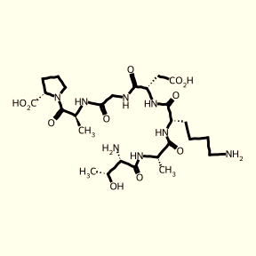 C[C@H](NC(=O)[C@@H](N)[C@@H](C)O)C(=O)N[C@@H](CCCCN)C(=O)N[C@@H](CC(=O)O)C(=O)NCC(=O)N[C@@H](C)C(=O)N1CCC[C@H]1C(=O)O